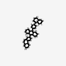 c1ccc2c(-c3ccc(-c4c5ccccc5c(-c5ccc6c(ccc7ccccc76)c5)c5ccccc45)cc3)cccc2c1